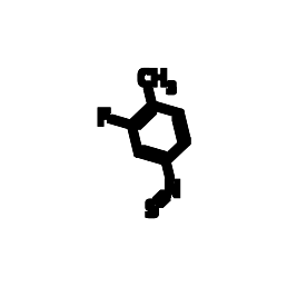 Cc1ccc(N=S)cc1F